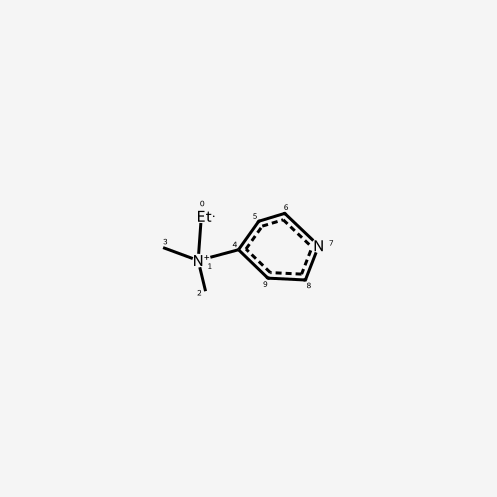 C[CH][N+](C)(C)c1ccncc1